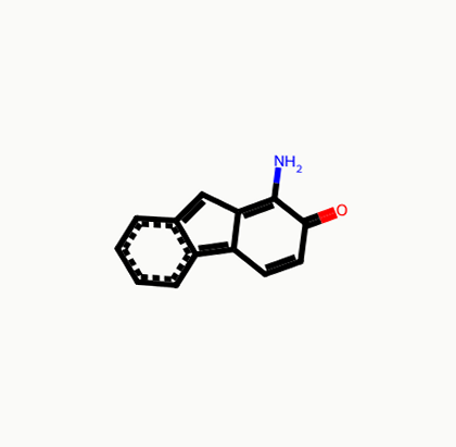 NC1=C2C=c3ccccc3=C2C=CC1=O